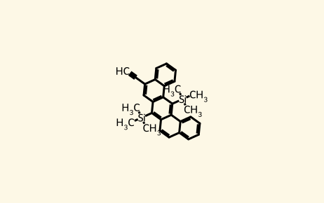 C#Cc1cc2c([Si](C)(C)C)c3ccc4ccccc4c3c([Si](C)(C)C)c2c2ccccc12